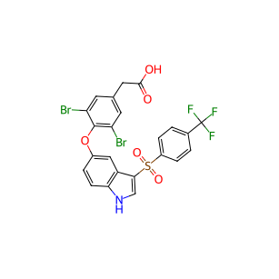 O=C(O)Cc1cc(Br)c(Oc2ccc3[nH]cc(S(=O)(=O)c4ccc(C(F)(F)F)cc4)c3c2)c(Br)c1